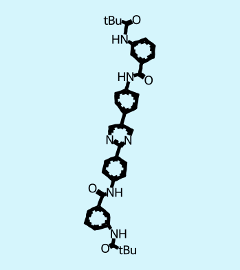 CC(C)(C)C(=O)Nc1cccc(C(=O)Nc2ccc(-c3cnc(-c4ccc(NC(=O)c5cccc(NC(=O)C(C)(C)C)c5)cc4)nc3)cc2)c1